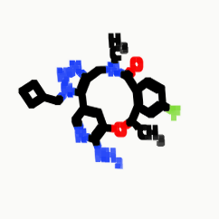 C[C@H]1Oc2cc(cnc2N)-c2c(nnn2CC2CCC2)CN(C)C(=O)c2ccc(F)cc21